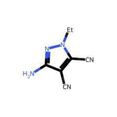 CCn1nc(N)c(C#N)c1C#N